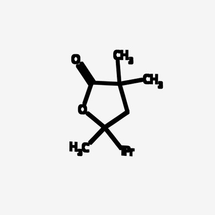 CC(C)C1(C)CC(C)(C)C(=O)O1